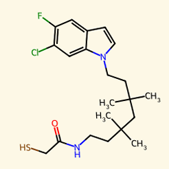 CC(C)(CCNC(=O)CS)CC(C)(C)CCn1ccc2cc(F)c(Cl)cc21